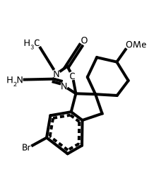 COC1CCC2(CC1)Cc1ccc(Br)cc1C21CC(=O)N(C)C(N)=N1